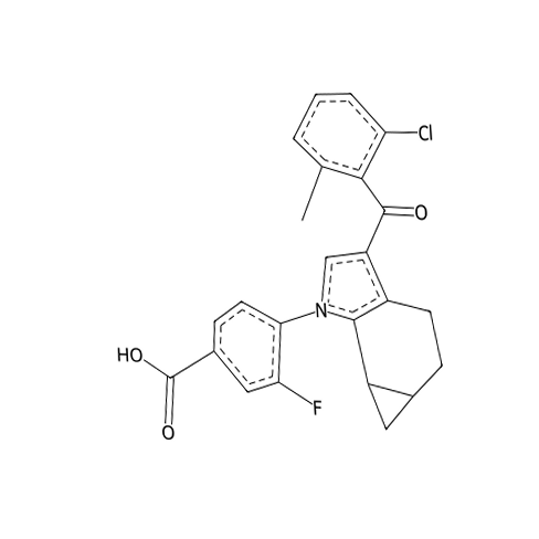 Cc1cccc(Cl)c1C(=O)c1cn(-c2ccc(C(=O)O)cc2F)c2c1CCC1CC21